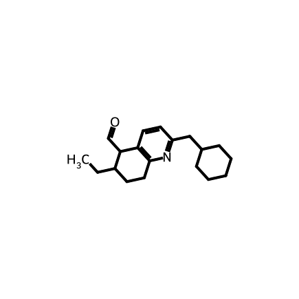 CCC1CCc2nc(CC3CCCCC3)ccc2C1C=O